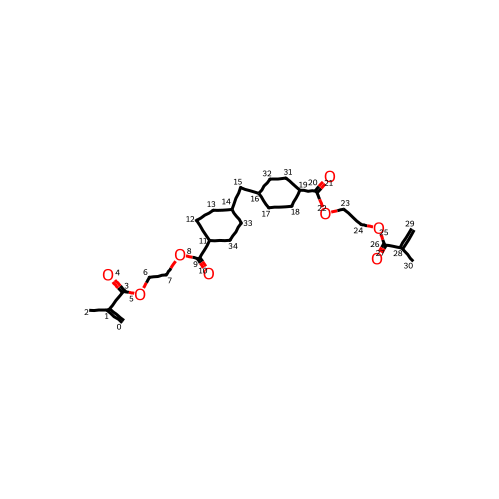 C=C(C)C(=O)OCCOC(=O)C1CCC(CC2CCC(C(=O)OCCOC(=O)C(=C)C)CC2)CC1